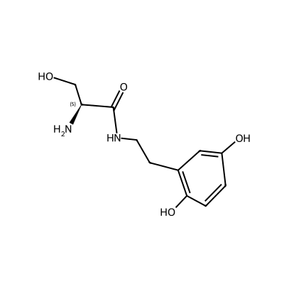 N[C@@H](CO)C(=O)NCCc1cc(O)ccc1O